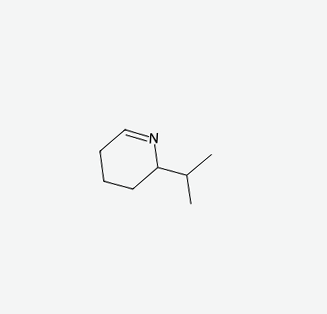 CC(C)C1CCCC=N1